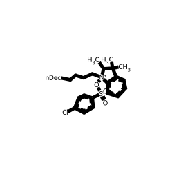 CCCCCCCCCCCCCC[N+]1(OS(=O)(=O)c2ccc(Cl)cc2)c2ccccc2C(C)(C)C1C